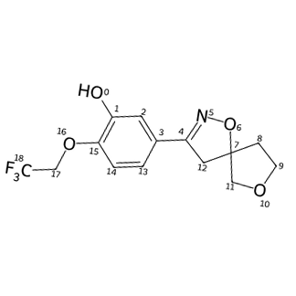 Oc1cc(C2=NOC3(CCOC3)C2)ccc1OCC(F)(F)F